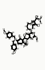 COc1ccc(CN(Cc2ccc(OC)cc2)c2ccc(C(F)(F)F)c(C3Cc4nc(SC)nc(N5CCCn6nc(C(=O)N(C)C)c(Cl)c6C5)c4CO3)c2F)cc1